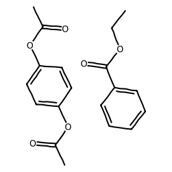 CC(=O)Oc1ccc(OC(C)=O)cc1.CCOC(=O)c1ccccc1